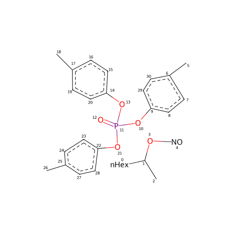 CCCCCCC(C)ON=O.Cc1ccc(OP(=O)(Oc2ccc(C)cc2)Oc2ccc(C)cc2)cc1